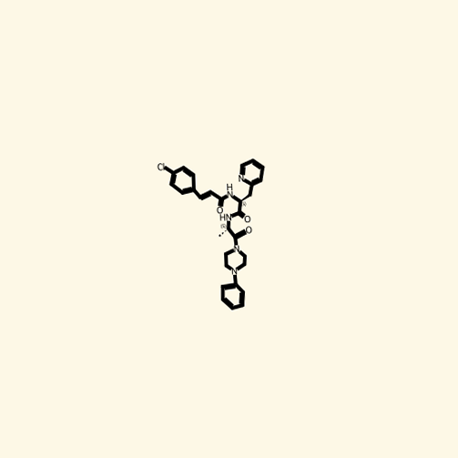 C[C@H](NC(=O)[C@H](Cc1ccccn1)NC(=O)C=Cc1ccc(Cl)cc1)C(=O)N1CCN(c2ccccc2)CC1